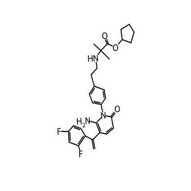 C=C(c1ccc(F)cc1F)c1ccc(=O)n(-c2ccc(CCNC(C)(C)C(=O)OC3CCCC3)cc2)c1N